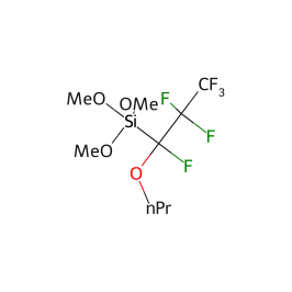 CCCOC(F)(C(F)(F)C(F)(F)F)[Si](OC)(OC)OC